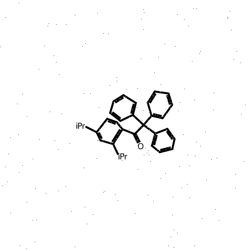 CC(C)c1[c]c(C(C)C)c(C(=O)C(c2ccccc2)(c2ccccc2)c2ccccc2)cc1